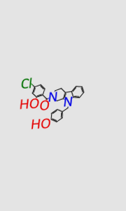 O=C(c1ccc(Cl)cc1O)N1CCc2c(n(Cc3ccc(O)cc3)c3ccccc23)C1